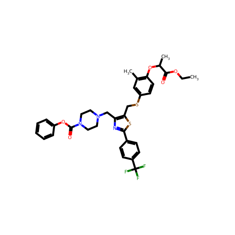 CCOC(=O)C(C)Oc1ccc(SCc2sc(-c3ccc(C(F)(F)F)cc3)nc2CN2CCN(C(=O)Oc3ccccc3)CC2)cc1C